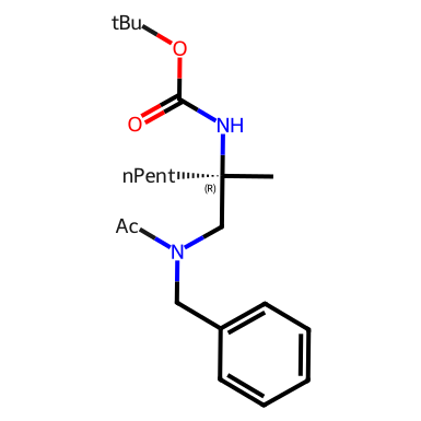 CCCCC[C@](C)(CN(Cc1ccccc1)C(C)=O)NC(=O)OC(C)(C)C